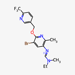 CCN(C)/C=N/c1cc(Br)c(OCc2ccc(C(F)(F)F)nc2)nc1C